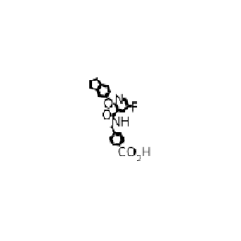 O=C(O)c1ccc(CNC(=O)c2cc(F)cnc2Oc2ccc3c(c2)CCC3)cc1